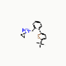 CC(C)(C)c1ccc(-c2ccccc2CNC2CC2)s1